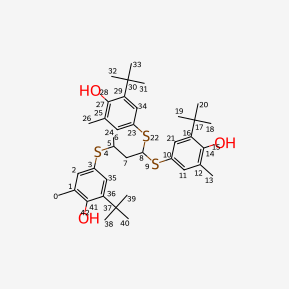 Cc1cc(SC(C)CC(Sc2cc(C)c(O)c(C(C)(C)C)c2)Sc2cc(C)c(O)c(C(C)(C)C)c2)cc(C(C)(C)C)c1O